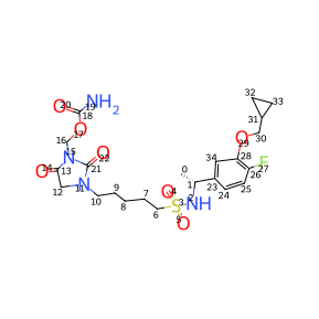 C[C@@H](NS(=O)(=O)CCCCCN1CC(=O)N(COC(N)=O)C1=O)c1ccc(F)c(OCC2CC2)c1